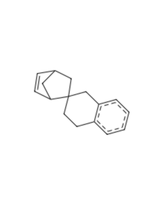 C1=CC2CC1CC21CCc2ccccc2C1